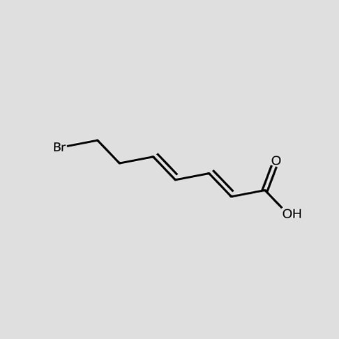 O=C(O)/C=C/C=C/CCBr